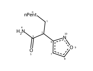 CCCCCCC(C(N)=O)c1ccon1